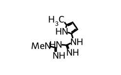 CNC(=N)NC(=N)Nc1ccc(C)[nH]1